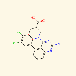 Nc1nc(N2CCCC(C(=O)O)C2)c2c(-c3ccc(Cl)c(Cl)c3)cccc2n1